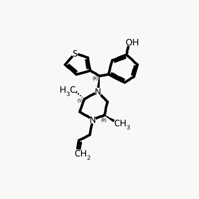 C=CCN1C[C@H](C)N([C@@H](c2ccsc2)c2cccc(O)c2)C[C@H]1C